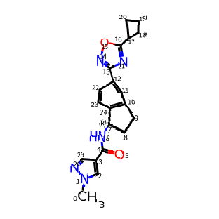 Cn1cc(C(=O)N[C@@H]2CCc3cc(-c4noc(C5CCC5)n4)ccc32)cn1